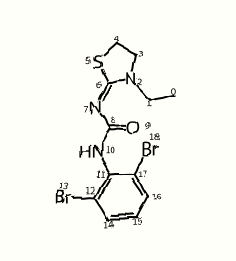 CCN1CCSC1=NC(=O)Nc1c(Br)cccc1Br